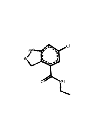 CCNC(=O)c1cc(Cl)cc2c1CNN2